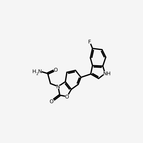 NC(=O)Cn1c(=O)oc2cc(-c3c[nH]c4ccc(F)cc34)ccc21